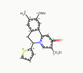 CCOC(=O)c1cn2c(cc1=O)-c1cc(OC)c(C)cc1CC2c1cccs1